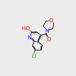 O=C(c1cc(O)nc2cc(Cl)ccc12)N1CCOCC1